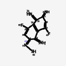 N=c1cc(F)c2c(=N)/c(=N\S)cc(F)c=2c1=N